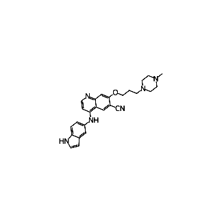 CN1CCN(CCCOc2cc3nccc(Nc4ccc5[nH]ccc5c4)c3cc2C#N)CC1